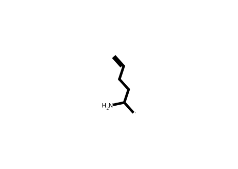 [CH2]C(N)CCC=C